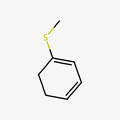 CSC1=CC=CCC1